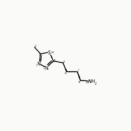 Cc1nnc(CCCCN)s1